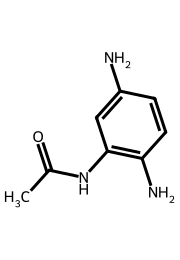 CC(=O)Nc1cc(N)ccc1N